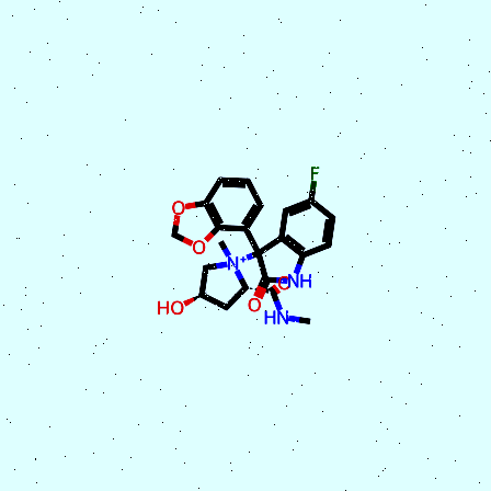 CNC(=O)[C@@H]1C[C@@H](O)C[N+]1(C)C1(c2cccc3c2OCO3)C(=O)Nc2ccc(F)cc21